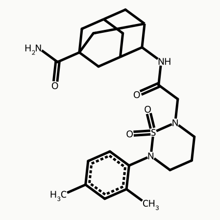 Cc1ccc(N2CCCN(CC(=O)NC3C4CC5CC3CC(C(N)=O)(C5)C4)S2(=O)=O)c(C)c1